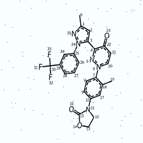 Cc1cc(-c2nn(-c3ccc(N4CCOC4=O)cc3C)ccc2=O)n(-c2cccc(C(F)(F)F)c2)n1